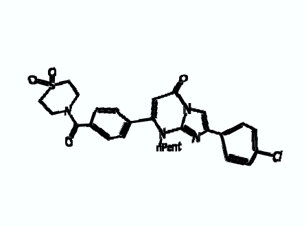 CCCCCn1c(-c2ccc(C(=O)N3CCS(=O)(=O)CC3)cc2)cc(=O)n2cc(-c3ccc(Cl)cc3)nc12